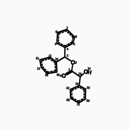 O=C(OC(c1ccccc1)c1ccccc1)C(O)c1ccccc1